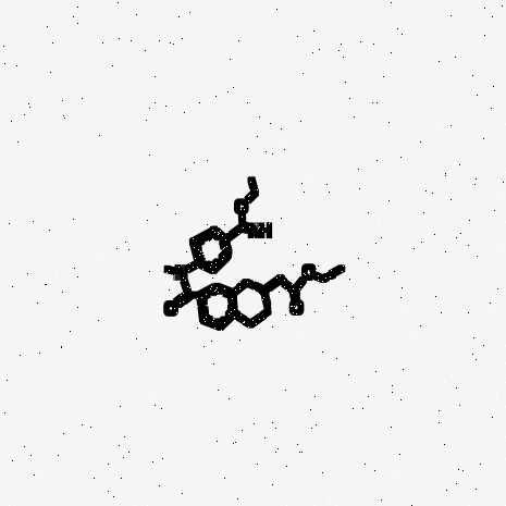 CCOC(=N)c1ccc(N(C)C(=O)c2ccc3c(c2)CC(CC(=O)OCC)CC3)cc1